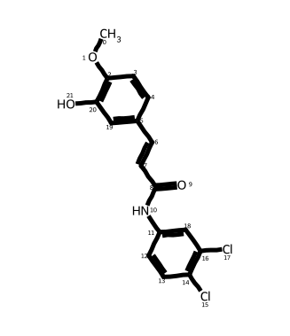 COc1ccc(/C=C/C(=O)Nc2ccc(Cl)c(Cl)c2)cc1O